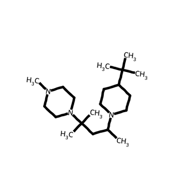 CC(CC(C)(C)N1CCN(C)CC1)N1CCC(C(C)(C)C)CC1